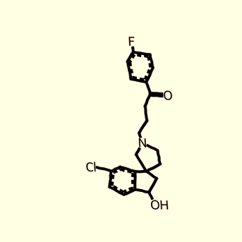 O=C(CCCN1CCC2(CC(O)c3ccc(Cl)cc32)C1)c1ccc(F)cc1